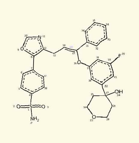 NS(=O)(=O)c1ccc(-c2ocnc2C/C=C(\Oc2cc(F)cc(C3(O)CCOCC3)c2)c2ccccc2)cc1